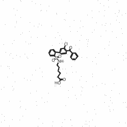 O=C(O)CCCCCNS(=O)(=O)c1ccccc1-c1ccc(C(=O)c2ccccc2)c(Cl)c1